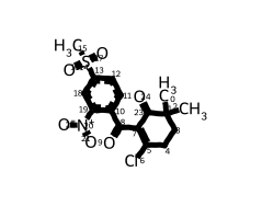 CC1(C)CCC(Cl)=C(C(=O)c2ccc(S(C)(=O)=O)cc2[N+](=O)[O-])C1=O